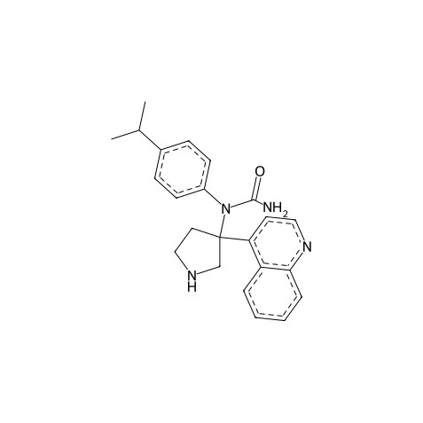 CC(C)c1ccc(N(C(N)=O)C2(c3ccnc4ccccc34)CCNC2)cc1